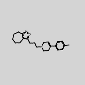 Cc1ccc(C2=CCN(CCCc3onc4c3CCCCC4)CC2)cc1